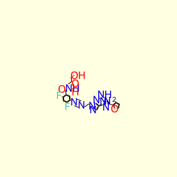 Nc1nc2c(cnn2CCN2CCN(c3cc(C(=O)NC[C@@H](O)CO)c(F)cc3F)CC2)c2nc(-c3ccco3)nn12